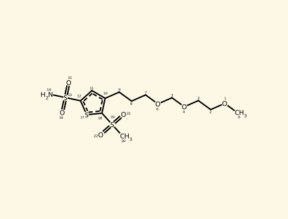 COCCOCOCCCc1cc(S(N)(=O)=O)sc1S(C)(=O)=O